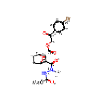 COC(=O)NN(C(=O)C1C2CCC(O2)[C@@H]1C(=O)OCC(=O)c1ccc(Br)cc1)C(C)C